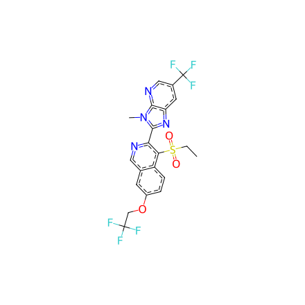 CCS(=O)(=O)c1c(-c2nc3cc(C(F)(F)F)cnc3n2C)ncc2cc(OCC(F)(F)F)ccc12